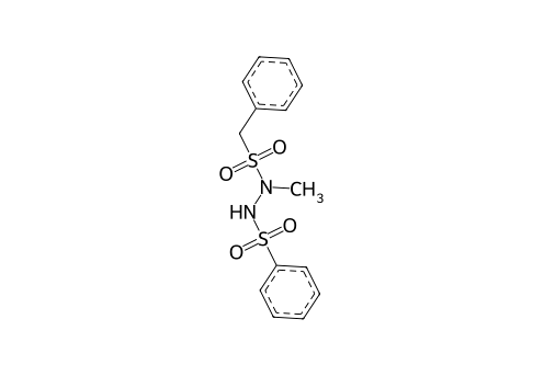 CN(NS(=O)(=O)c1ccccc1)S(=O)(=O)Cc1ccccc1